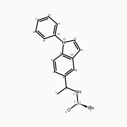 CC(N[S@+]([O-])C(C)(C)C)c1ccc2c(ccn2-c2ccccc2)c1